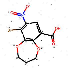 O=C(O)c1cc([N+](=O)[O-])c(Br)c2c1OCCCO2